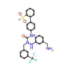 CS(=O)(=O)c1ccccc1-c1ccc(NC(=O)N(Cc2cccc(C(F)(F)F)c2)Nc2cccc(CN)c2)cc1